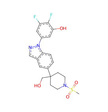 CS(=O)(=O)N1CCC(CO)(c2ccc3c(cnn3-c3cc(O)c(F)c(F)c3)c2)CC1